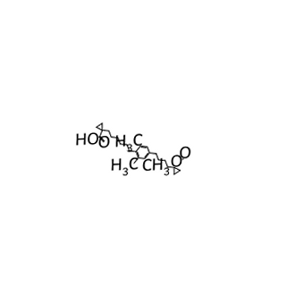 Cc1cc(CCCCC2(OC=O)CC2)c(C)c(C)c1CCCCCCC1(C(=O)O)CC1